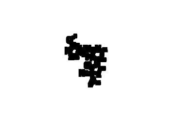 COc1cc(-c2cc3c(N4CC[C@@](C#N)(C5CC5)C4=O)ccnc3[nH]2)ccn1